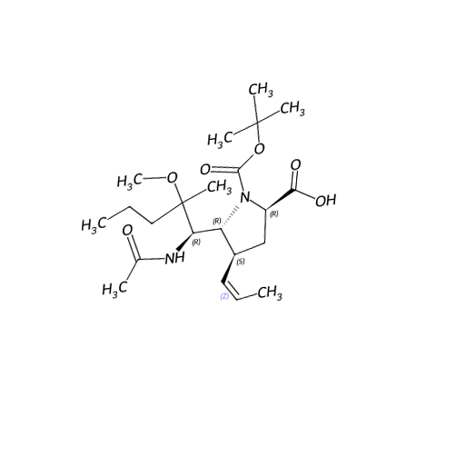 C/C=C\[C@@H]1C[C@H](C(=O)O)N(C(=O)OC(C)(C)C)[C@H]1[C@@H](NC(C)=O)C(C)(CCC)OC